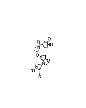 COc1ncc(N2CCOc3ccc(OC4CCN(C(=O)c5cc[nH]c(=O)c5)C4)cc32)cc1C#N